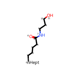 CCCCCCCCCCCC(=O)NCCCO